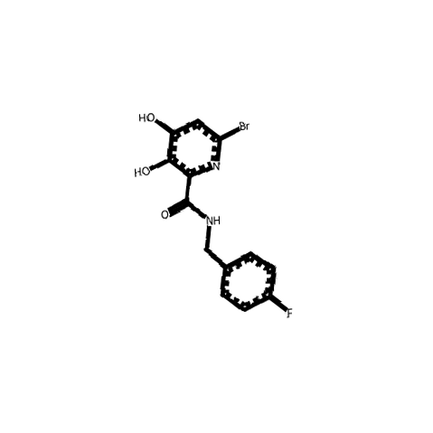 O=C(NCc1ccc(F)cc1)c1nc(Br)cc(O)c1O